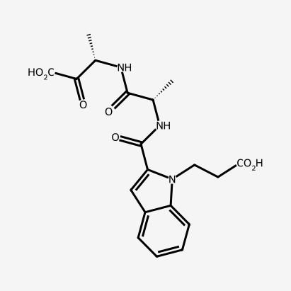 C[C@H](NC(=O)c1cc2ccccc2n1CCC(=O)O)C(=O)N[C@@H](C)C(=O)C(=O)O